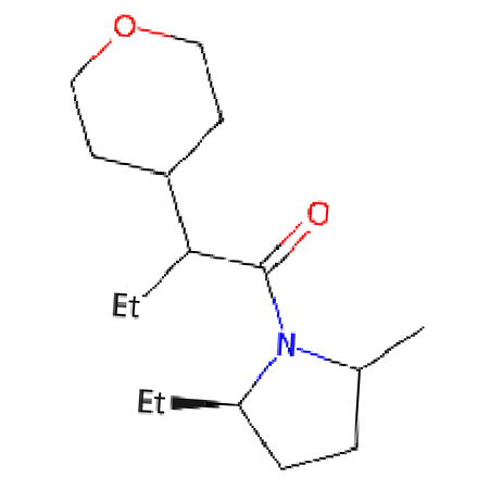 CCC(C(=O)N1C(C)CC[C@H]1CC)C1CCOCC1